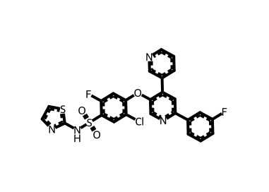 O=S(=O)(Nc1nccs1)c1cc(Cl)c(Oc2cnc(-c3cccc(F)c3)cc2-c2cccnc2)cc1F